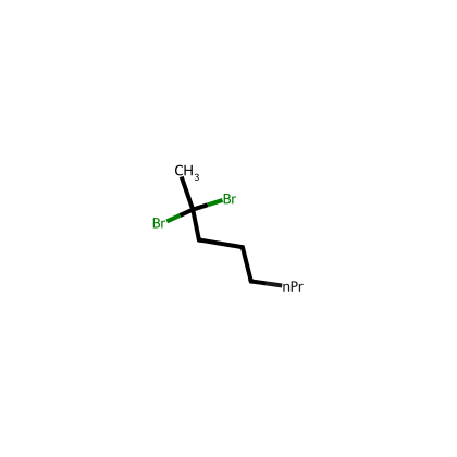 CCCCCCC(C)(Br)Br